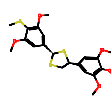 COc1cc([C@H]2CS[C@H](c3cc(OC)c(SC)c(OC)c3)S2)cc(OC)c1OC